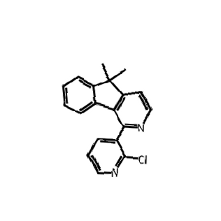 CC1(C)c2ccccc2-c2c1ccnc2-c1cccnc1Cl